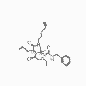 C#CCOCCN1C[C@H]2N(C(=O)CN(CC)N2C(=O)NCc2ccccc2)[C@@H](CCC)C1=O